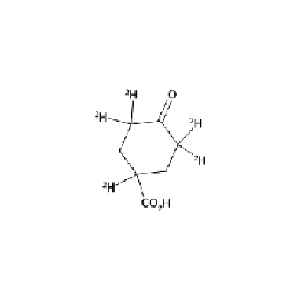 [2H]C1([2H])CC([2H])(C(=O)O)CC([2H])([2H])C1=O